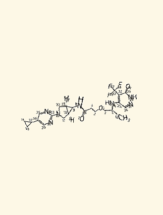 C[C@@H](COCCC(=O)NC1[C@H]2CN(c3ncc(C4CC4)cn3)C[C@@H]12)Nc1cn[nH]c(=O)c1C(F)(F)F